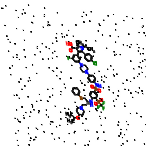 CCn1c(C)c(C(=O)O)c(-c2cc(F)cc(N3CCN(c4ccc(NS(=O)(=O)c5ccc(N[C@H](CCN6CCC(OC(C)C)CC6)CSc6ccccc6)c(S(=O)(=O)C(F)(F)F)c5)cc4)CC3)c2)c1-c1ccc(Cl)cc1